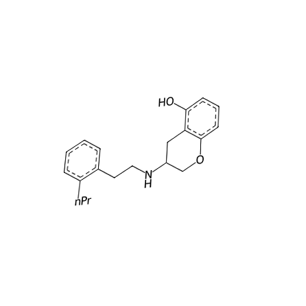 CCCc1ccccc1CCNC1COc2cccc(O)c2C1